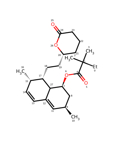 CCC(C)(C)C(=O)O[C@H]1C[C@@H](C)C=C2C=C[C@H](C)[C@H](CC[C@H]3CCCC(=O)O3)C21